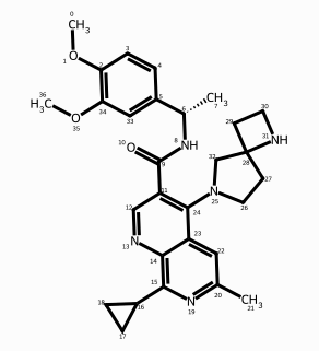 COc1ccc([C@H](C)NC(=O)c2cnc3c(C4CC4)nc(C)cc3c2N2CCC3(CCN3)C2)cc1OC